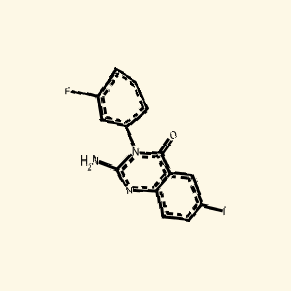 Nc1nc2ccc(I)cc2c(=O)n1-c1cccc(F)c1